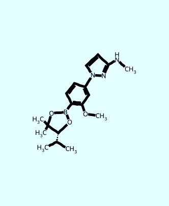 CNc1ccn(-c2ccc(B3O[C@H](C(C)C)C(C)(C)O3)c(OC)c2)n1